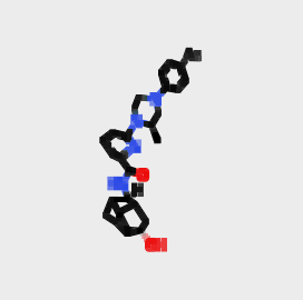 CC(=O)c1ccc(N2CCN(c3cccc(C(=O)N[C@H]4C5CC6CC4C[C@](O)(C6)C5)n3)[C@H](C)C2)cc1